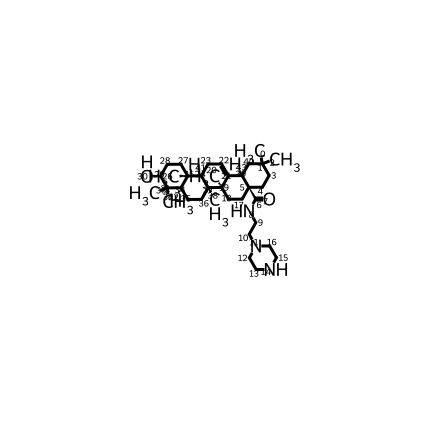 CC1(C)CC[C@]2(C(=O)NCCN3CCNCC3)CC[C@]3(C)C(=CC[C@@H]4[C@@]5(C)CC[C@H](O)C(C)(C)[C@@H]5CC[C@]43C)[C@@H]2C1